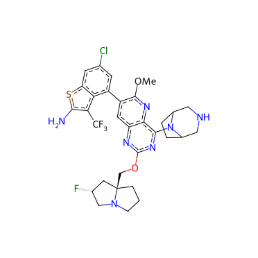 COc1nc2c(N3C4CCC3CNC4)nc(OC[C@@]34CCCN3C[C@H](F)C4)nc2cc1-c1cc(Cl)cc2sc(N)c(C(F)(F)F)c12